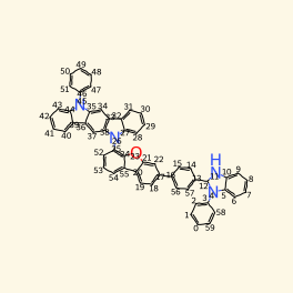 c1ccc(N2c3ccccc3NC2c2ccc(-c3ccc4c(c3)oc3c(-n5c6ccccc6c6cc7c(cc65)c5ccccc5n7-c5ccccc5)cccc34)cc2)cc1